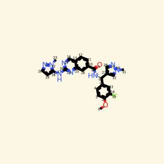 COc1ccc([C@H](NC(=O)c2ccc3cnc(Nc4ccnn4C)nc3c2)c2cnn(C)c2)cc1F